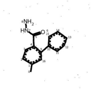 Cc1ccc(C(=O)NN)c(-c2ccccc2)c1